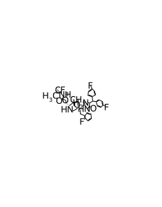 C[C@@H]1O[C@H](CCc2c(F)cccc2NC(=O)C(N)C(c2ccc(F)cc2)c2ccc(F)cc2)CN[C@@H]1COC(=O)N[C@@H](C)C(F)(F)F